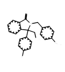 O=C1c2ccccc2C(CO)(c2ccc(F)cc2)N1Cc1ccc([N+](=O)[O-])cc1